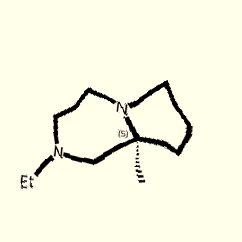 CCN1CCN2CCC[C@@]2(C)C1